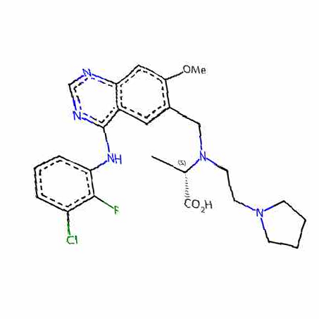 COc1cc2ncnc(Nc3cccc(Cl)c3F)c2cc1CN(CCN1CCCC1)[C@@H](C)C(=O)O